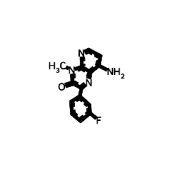 Cn1c(=O)c(-c2cccc(F)c2)nc2c(N)ccnc21